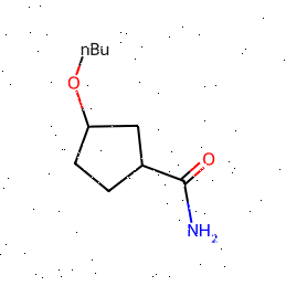 CCCCOC1CCC(C(N)=O)C1